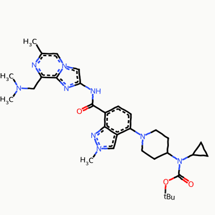 Cc1cn2cc(NC(=O)c3ccc(N4CCC(N(C(=O)OC(C)(C)C)C5CC5)CC4)c4cn(C)nc34)nc2c(CN(C)C)n1